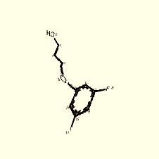 OCCCOc1cc(F)cc(I)c1